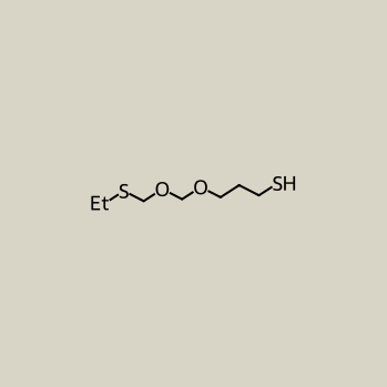 CCSCOCOCCCS